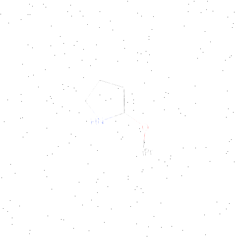 CC(C)OC1CCCN1